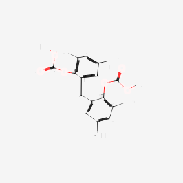 Cc1cc(Cc2cc(C)cc(C(C)(C)C)c2OC(=O)OC(C)(C)C)c(OC(=O)OC(C)(C)C)c(C(C)(C)C)c1